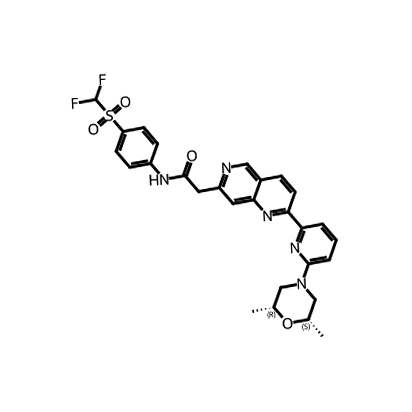 C[C@@H]1CN(c2cccc(-c3ccc4cnc(CC(=O)Nc5ccc(S(=O)(=O)C(F)F)cc5)cc4n3)n2)C[C@H](C)O1